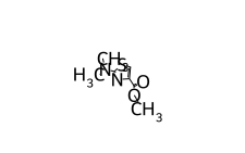 CCOC(=O)c1csc(N(C)C)n1